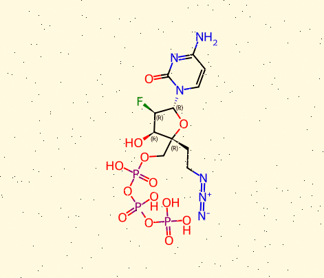 [N-]=[N+]=NCC[C@]1(COP(=O)(O)OP(=O)(O)OP(=O)(O)O)O[C@@H](n2ccc(N)nc2=O)[C@H](F)[C@@H]1O